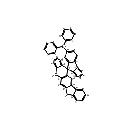 c1ccc(N(c2ccccc2)c2ccc3c(c2)C2(c4ccccc4Oc4cc5sc6ccccc6c5cc42)c2ccccc2-3)cc1